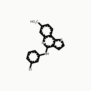 CCc1cccc(Nc2nc3cc(C(=O)O)ccc3c3sccc23)c1